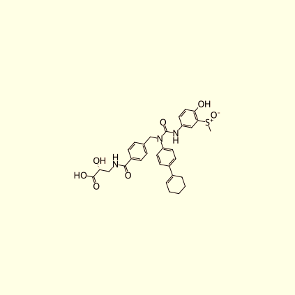 C[S+]([O-])c1cc(NC(=O)N(Cc2ccc(C(=O)NC[C@@H](O)C(=O)O)cc2)c2ccc(C3=CCCCC3)cc2)ccc1O